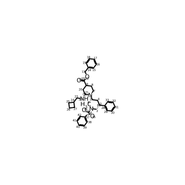 CN(C[C@H](CCN1CCC(C(=O)OCc2ccccc2)C[C@H]1NCC1CCC1)c1ccccc1)S(=O)(=O)c1ccccc1